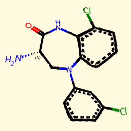 N[C@H]1CN(c2cccc(Cl)c2)c2cccc(Cl)c2NC1=O